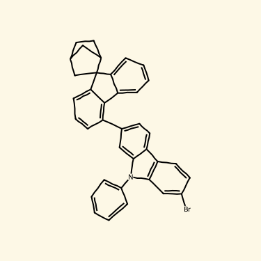 Brc1ccc2c3ccc(-c4cccc5c4-c4ccccc4C54CC5CCC4C5)cc3n(-c3ccccc3)c2c1